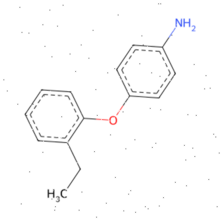 CCc1ccccc1Oc1ccc(N)cc1